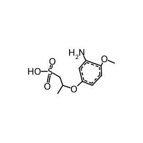 COc1ccc(OC(C)CS(=O)(=O)O)cc1N